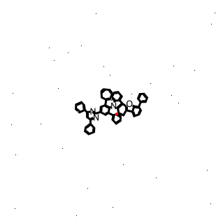 C1#CCC(c2cc(-c3nc(-c4ccccc4)cc(-c4ccccc4)n3)cc(-c3ccccc3)c2-n2c3c(c4ccccc42)-c2oc4c(-c5ccccc5)cccc4c2CC3)=CC=C1